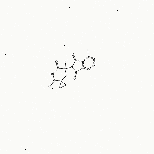 Cc1cccc2c1C(=O)N(C1(F)CC3(CC3)C(=O)NC1=O)C2=O